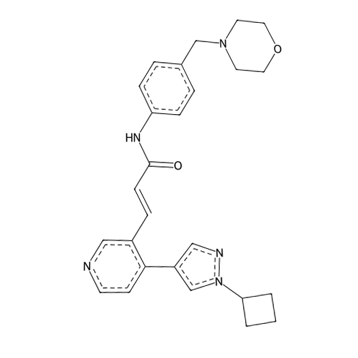 O=C(C=Cc1cnccc1-c1cnn(C2CCC2)c1)Nc1ccc(CN2CCOCC2)cc1